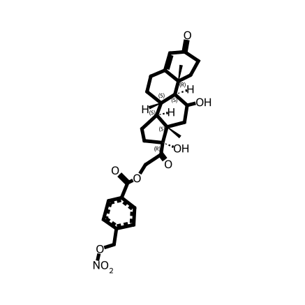 C[C@]12CCC(=O)C=C1CC[C@@H]1[C@@H]2C(O)C[C@@]2(C)[C@H]1CC[C@]2(O)C(=O)COC(=O)c1ccc(CO[N+](=O)[O-])cc1